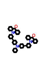 O=c1c2ccccc2n(-c2cccc(-c3ccc(N(c4ccccc4)c4ccc(-c5cccc(-n6c7ccccc7c(=O)c7ccccc76)c5)cc4)cc3)c2)c2ccccc12